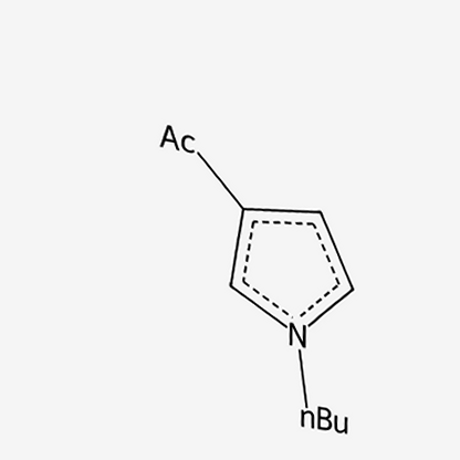 CCCCn1ccc(C(C)=O)c1